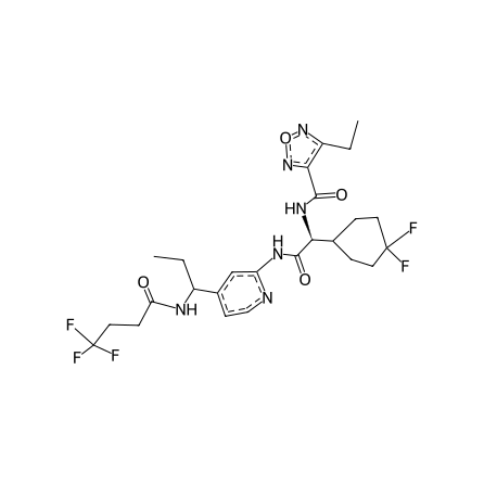 CCc1nonc1C(=O)N[C@H](C(=O)Nc1cc(C(CC)NC(=O)CCC(F)(F)F)ccn1)C1CCC(F)(F)CC1